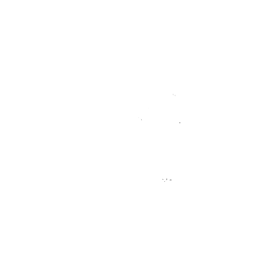 COc1ccc(C(C(O)CN)N(C)c2ccc(Cl)cc2)cc1.Cl